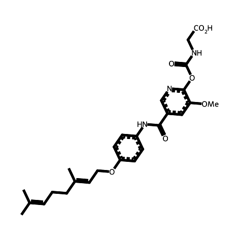 COc1cc(C(=O)Nc2ccc(OC/C=C(\C)CCC=C(C)C)cc2)cnc1OC(=O)NCC(=O)O